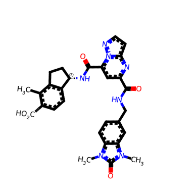 Cc1c(C(=O)O)ccc2c1CC[C@@H]2NC(=O)c1cc(C(=O)NCc2ccc3c(c2)n(C)c(=O)n3C)nc2ccnn12